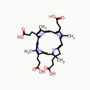 CC1=C(CCC(=O)O)c2cc3[nH]c(cc4nc(cc5[nH]c(cc1n2)c(CCC(=O)O)c5C)CC4(C)CCC(=O)O)c(CCC(=O)O)c3C